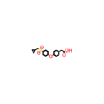 O=C(O)Cc1ccc(Oc2ccc(S(=O)(=O)CC3CC3)cc2)cc1